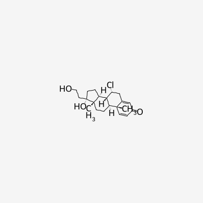 C[C@]12C=CC(=O)C=C1C[C@@H](Cl)[C@@H]1[C@@H]2CC[C@@]2(C)[C@H]1CC[C@]2(O)CCO